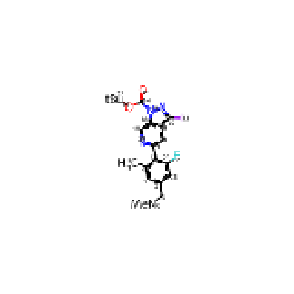 CNCc1cc(C)c(-c2cc3c(I)nn(C(=O)OC(C)(C)C)c3cn2)c(F)c1